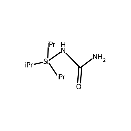 CC(C)[Si](NC(N)=O)(C(C)C)C(C)C